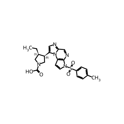 CC[C@@H]1CN(C(=O)O)C[C@@H]1c1cnc2cnc3c(ccn3S(=O)(=O)c3ccc(C)cc3)n12